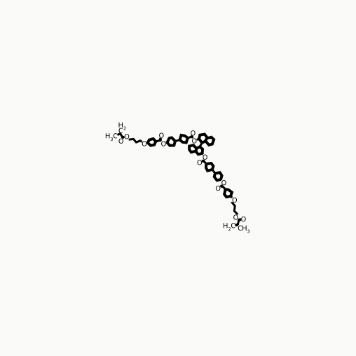 C=C(C)C(=O)OCCCCOc1ccc(C(=O)Oc2ccc(-c3ccc(C(=O)Oc4cc(-c5c(OC(=O)c6ccc(-c7ccc(OC(=O)c8ccc(OCCCCOC(=O)C(=C)C)cc8)cc7)cc6)ccc6ccccc56)c5ccccc5c4)cc3)cc2)cc1